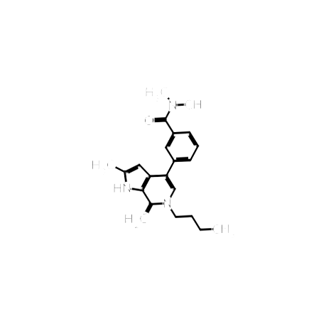 C=C1c2[nH]c(C)cc2C(c2cccc(C(=O)N(C)C)c2)=CN1CCCC